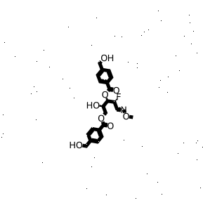 CON=C[C@@H](F)[C@H](OC(=O)c1ccc(CO)cc1)[C@H](O)COC(=O)c1ccc(CO)cc1